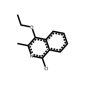 CCOc1c(C)nc(Cl)c2ccccc12